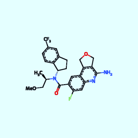 COC[C@@H](C)N(C(=O)c1cc2c3c(c(N)nc2cc1F)COC3)[C@H]1CCc2cc(C(F)(F)F)ccc21